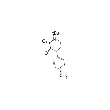 Cc1ccc(C2CCN(C(C)(C)C)C(=O)C2=O)cc1